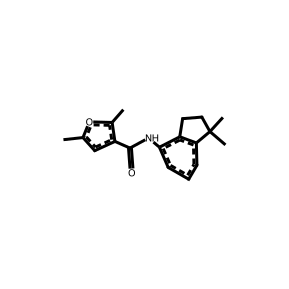 Cc1cc(C(=O)Nc2cccc3c2CCC3(C)C)c(C)o1